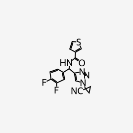 N#CC1(n2cc(C(NC(=O)c3ccsc3)c3ccc(F)c(F)c3)nn2)CC1